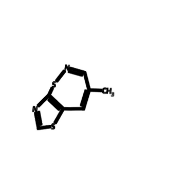 CC1=Cc2scnc2SN=C1